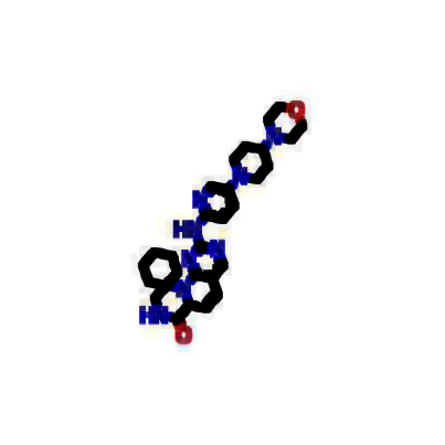 O=C1NCC2(CCCCC2)N2c3nc(Nc4ccc(N5CCC(N6CCOCC6)CC5)cn4)ncc3C=CC12